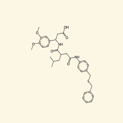 COc1ccc(C(CC(=O)O)NC(=O)C(CC(=O)Nc2ccc(CSCc3ccccc3)cc2)CC(C)C)cc1OC